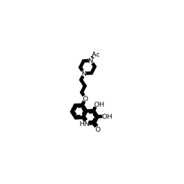 CC(=O)N1CCN(CCCOc2cccc3[nH]c(=O)c(O)c(O)c23)CC1